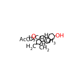 C=C1C(=C)[C@H]2[C@@H]3CC=C4CC(O)CC[C@]4(C)[C@H]3CC[C@]2(C)[C@H]1C(=O)COC(C)=O